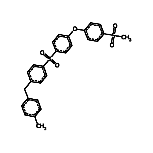 Cc1ccc(Cc2ccc(S(=O)(=O)c3ccc(Oc4ccc(S(C)(=O)=O)cc4)cc3)cc2)cc1